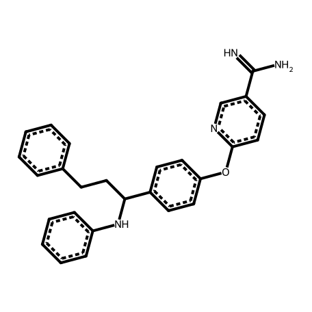 N=C(N)c1ccc(Oc2ccc(C(CCc3ccccc3)Nc3ccccc3)cc2)nc1